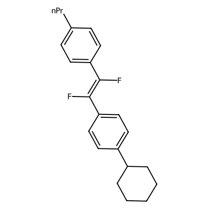 CCCc1ccc(C(F)=C(F)c2ccc(C3CCCCC3)cc2)cc1